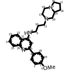 COc1ccc(-c2cc(NCCCN3CCN4CCCC4C3)c3ccccc3n2)cc1